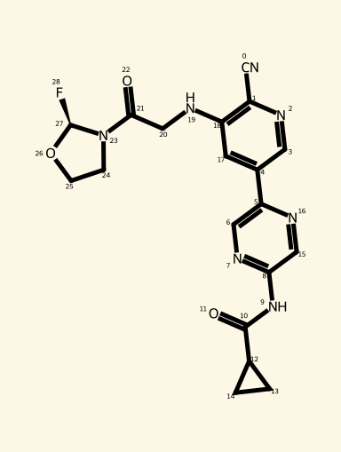 N#Cc1ncc(-c2cnc(NC(=O)C3CC3)cn2)cc1NCC(=O)N1CCO[C@H]1F